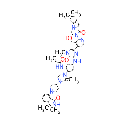 C=CC(=O)Nc1cc(Nc2nc(-c3ccnc(N4CCn5c(cc6c5CC(C)(C)C6)C4=O)c3CO)cn(C)c2=O)ccc1N1CCN(C2CCN(c3cccc4c3C(=O)NC4(C)C)CC2)C[C@@H]1C